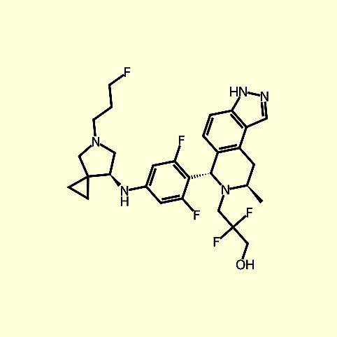 C[C@@H]1Cc2c(ccc3[nH]ncc23)[C@@H](c2c(F)cc(N[C@@H]3CN(CCCF)CC34CC4)cc2F)N1CC(F)(F)CO